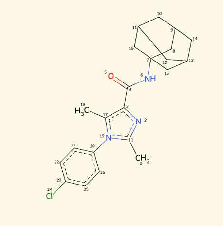 Cc1nc(C(=O)NC23CC4CC(CC(C4)C2)C3)c(C)n1-c1ccc(Cl)cc1